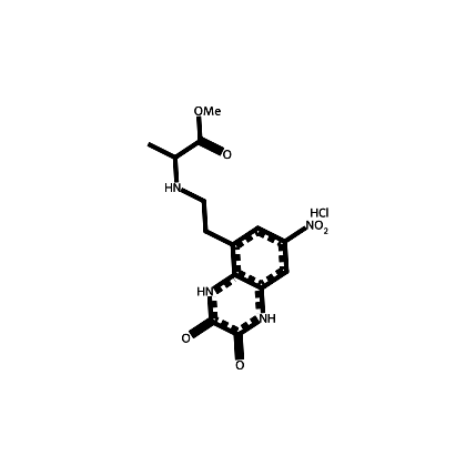 COC(=O)C(C)NCCc1cc([N+](=O)[O-])cc2[nH]c(=O)c(=O)[nH]c12.Cl